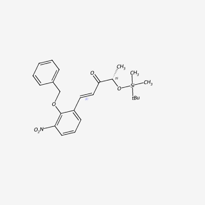 C[C@H](O[Si](C)(C)C(C)(C)C)C(=O)/C=C/c1cccc([N+](=O)[O-])c1OCc1ccccc1